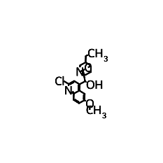 CCC1CN2CCC1CC2[C@H](O)c1cc(Cl)nc2ccc(OC)cc12